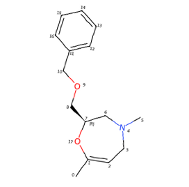 CC1=CCN(C)C[C@H](COCc2ccccc2)O1